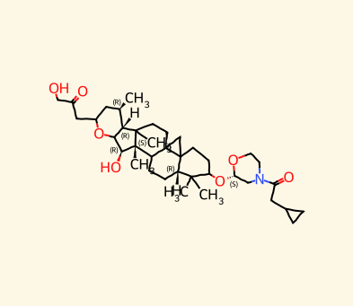 C[C@@H]1CC(CC(=O)CO)OC2[C@H]1C1(C)CC[C@@]34CC35CCC(O[C@H]3CN(C(=O)CC6CC6)CCO3)C(C)(C)[C@@H]5CCC4[C@]1(C)[C@H]2O